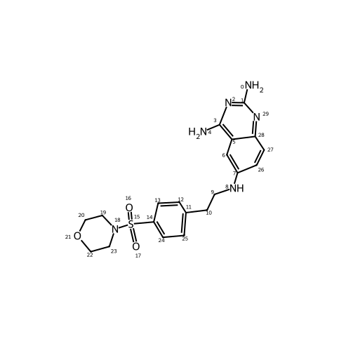 Nc1nc(N)c2cc(NCCc3ccc(S(=O)(=O)N4CCOCC4)cc3)ccc2n1